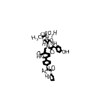 CC(=O)N(C(=O)[C@@H]1CCCN1)c1ccc(-c2ccc(CN(C(=O)C(N)c3ccc(O)cc3)[C@@H]3C(=O)N4[C@@H]3SC(C)(C)[C@@H]4C(=O)O)c(=O)[nH]2)cc1